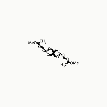 COC(C)OCOP1OCC2(CO1)COP(OCOC(C)OC)OC2